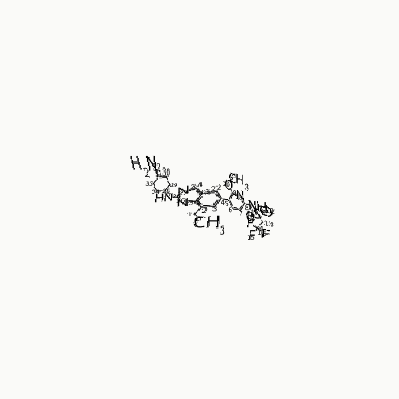 CCc1cc(-c2ccc(NS(=O)(=O)CC(F)(F)F)nc2OC)cc2cnc(N[C@H]3CC[C@H](N)CC3)nc12